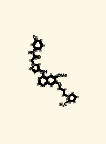 COc1cc2c(Nc3cnn(CC(=O)Nc4cccc(F)c4)c3)ncnc2cc1OCCCN1CCC[C@H]1C